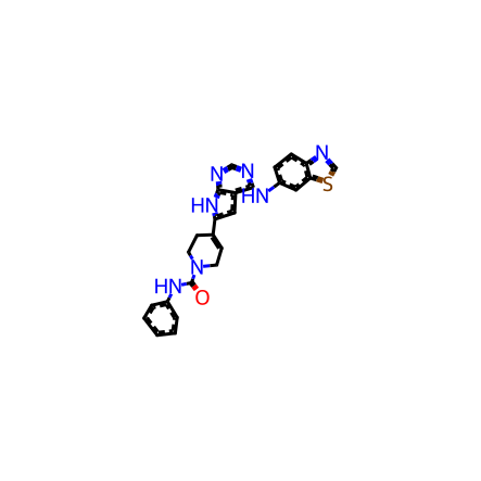 O=C(Nc1ccccc1)N1CC=C(c2cc3c(Nc4ccc5ncsc5c4)ncnc3[nH]2)CC1